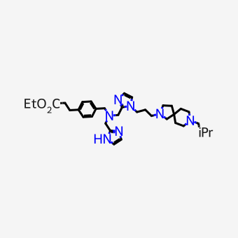 CCOC(=O)CCc1ccc(CN(Cc2ncc[nH]2)Cc2nccn2CCCN2CCC3(CCN(CC(C)C)CC3)C2)cc1